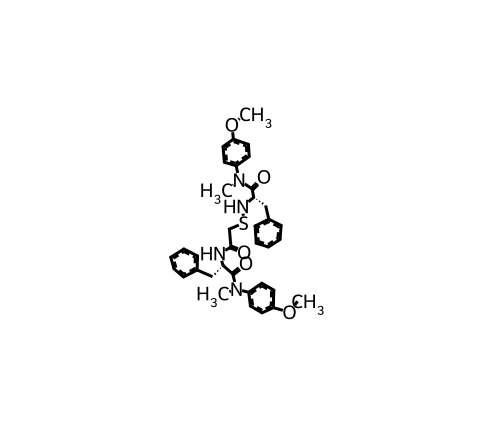 COc1ccc(N(C)C(=O)[C@H](Cc2ccccc2)NSCC(=O)N[C@@H](Cc2ccccc2)C(=O)N(C)c2ccc(OC)cc2)cc1